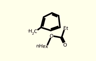 CCCCCCOC(=O)CC.[CH2]c1ccccc1